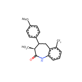 COc1ccc(C2Cc3c(cccc3C(F)(F)F)NC(=O)[C@H]2C(=O)O)cc1